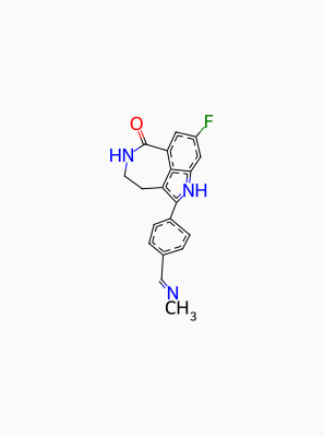 C/N=C/c1ccc(-c2[nH]c3cc(F)cc4c3c2CCNC4=O)cc1